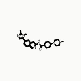 Cc1ncc(-c2ccc3cnc(NC(=O)C4CCC(N5CCN(C)CC5)CC4)cc3c2)n1C